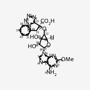 COc1nc(N)c2ncn([C@@H]3O[C@@H]4C(O[C@](Cc5ccccc5)(C(=O)O)c5nnn[nH]5)[C@]4(O)[C@H]3O)c2n1